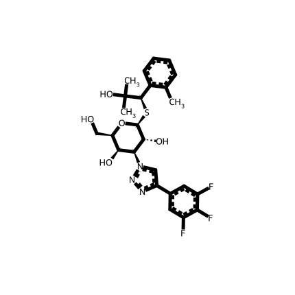 Cc1ccccc1[C@@H](S[C@@H]1O[C@H](CO)[C@H](O)[C@H](n2cc(-c3cc(F)c(F)c(F)c3)nn2)[C@H]1O)C(C)(C)O